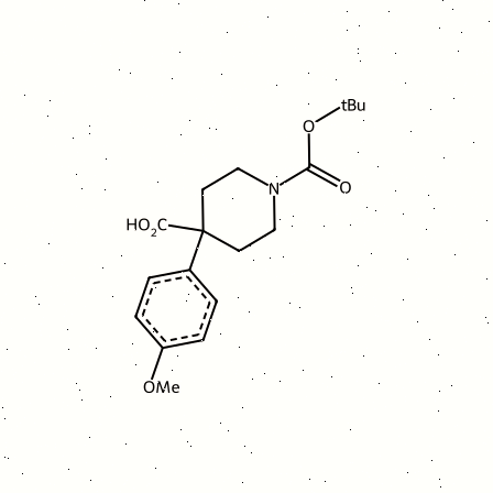 COc1ccc(C2(C(=O)O)CCN(C(=O)OC(C)(C)C)CC2)cc1